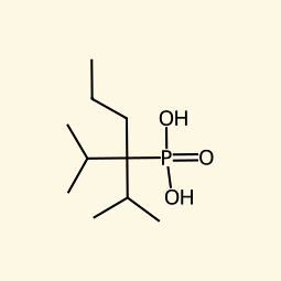 CCCC(C(C)C)(C(C)C)P(=O)(O)O